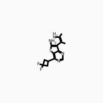 C/C(N)=C(\C)c1c(N)sc2c(C3CC(F)(F)C3)ncnc12